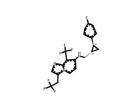 Fc1ccc([C@H]2C[C@@H]2CNc2ccn3c(CC(F)(F)F)cnc3c2C(F)(F)F)cc1